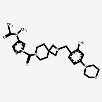 CC(=O)N(C)c1cnn(C(=O)N2CCC3(CC2)CN(Cc2ccc(N4CCOCC4)cc2C)C3)c1